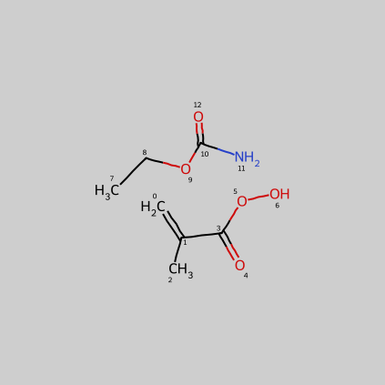 C=C(C)C(=O)OO.CCOC(N)=O